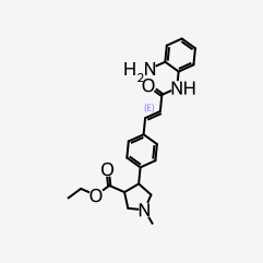 CCOC(=O)C1CN(C)CC1c1ccc(/C=C/C(=O)Nc2ccccc2N)cc1